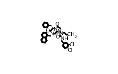 C=CCN(C(=O)NCc1ccc(Cl)c(Cl)c1)N1CC(=O)N2[C@@H](Cc3ccccc3)C(=O)N(Cc3cccc4ccccc34)C[C@@H]21